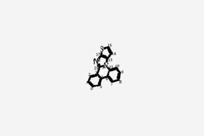 c1ccc2c(c1)c1ccccc1n1c3ccsc3nc21